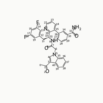 CC(=O)c1cn(CC(=O)N[C@@H](Cc2cc(F)cc(F)c2)c2ncccc2-c2cccc(C(N)=O)c2)c2ccccc12